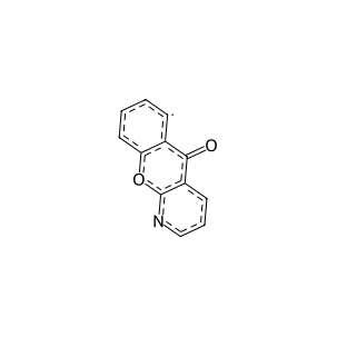 O=c1c2[c]cccc2oc2ncccc12